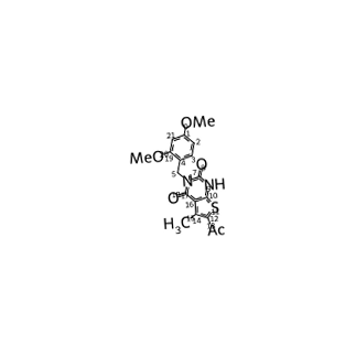 COc1ccc(Cn2c(=O)[nH]c3sc(C(C)=O)c(C)c3c2=O)c(OC)c1